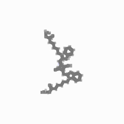 CCCCOC(=O)CCCCCN1c2ccccc2SC1CC1=C(O)/C(=C\c2sc3ccccc3[n+]2CCCCCC(=O)OCCCC)C1=O